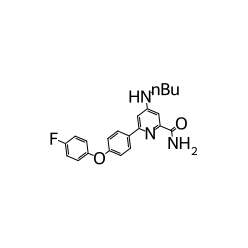 CCCCNc1cc(C(N)=O)nc(-c2ccc(Oc3ccc(F)cc3)cc2)c1